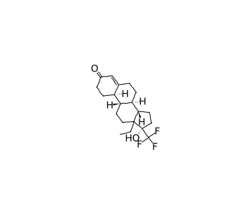 CCC12CC[C@H]3[C@@H](CCC4=CC(=O)CC[C@@H]43)[C@@H]1CC[C@@]2(O)C(F)(F)F